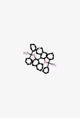 PC(Oc1ccc2ccccc2c1-c1c(OC(P)(c2ccccc2)c2ccccc2)ccc2ccccc12)(c1ccccc1)c1ccccc1